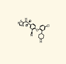 N#Cc1cc(S(=O)(=O)Nc2ncns2)ccc1Oc1ccc(Cl)cc1C1CCNCC1